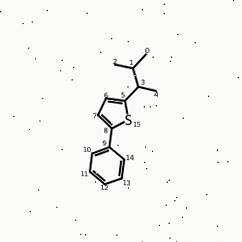 CC(C)C(C)c1ccc(-c2ccccc2)s1